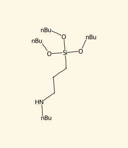 CCCCNCCC[Si](OCCCC)(OCCCC)OCCCC